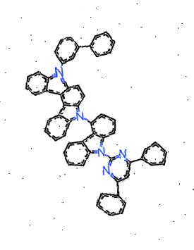 c1ccc(-c2cccc(-n3c4ccccc4c4c5c6ccccc6n(-c6cccc7c6c6ccccc6n7-c6nc(-c7ccccc7)cc(-c7ccccc7)n6)c5ccc43)c2)cc1